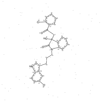 O=C(CC1(O)C(=O)N(CCCc2c[nH]c3ccc(Cl)cc23)c2ccccc21)c1ccccc1Cl